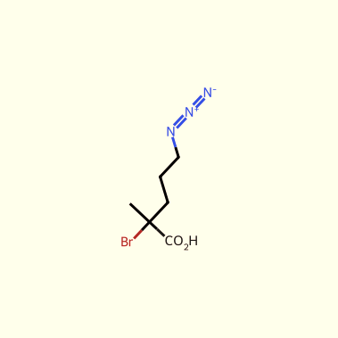 CC(Br)(CCCN=[N+]=[N-])C(=O)O